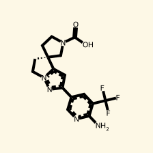 Nc1ncc(-c2cc3n(n2)CC[C@@]32CCN(C(=O)O)C2)cc1C(F)(F)F